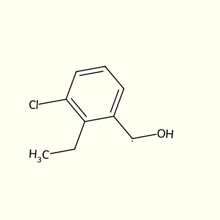 CCc1c(Cl)cccc1[CH]O